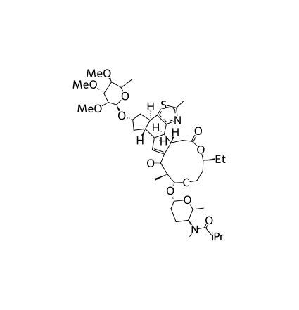 CC[C@H]1CCC[C@H](O[C@H]2CC[C@H](N(C)C(=O)C(C)C)C(C)O2)[C@@H](C)C(=O)C2=C[C@H]3[C@@H]4C[C@H](O[C@@H]5OC(C)[C@H](OC)[C@@H](OC)C5OC)C[C@H]4c4sc(C)nc4[C@H]3[C@@H]2CC(=O)O1